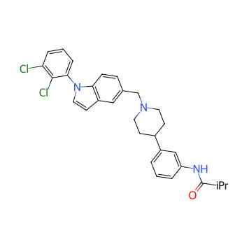 CC(C)C(=O)Nc1cccc(C2CCN(Cc3ccc4c(ccn4-c4cccc(Cl)c4Cl)c3)CC2)c1